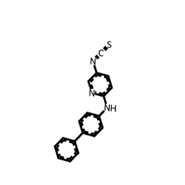 S=C=Nc1ccc(Nc2ccc(-c3ccccc3)cc2)nc1